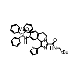 COc1cc2c(cc1N[Si](c1ccccc1)(c1ccccc1)c1ccccc1)-c1c(-c3cccs3)nc(C(=O)NCC(C)(C)C)n1CC2